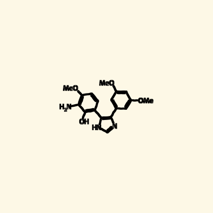 COc1cc(OC)cc(-c2nc[nH]c2-c2ccc(OC)c(N)c2O)c1